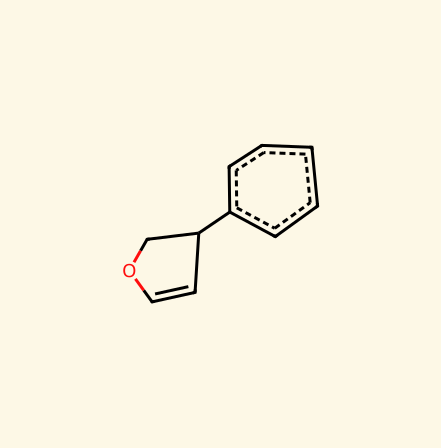 C1=CC(c2ccccc2)CO1